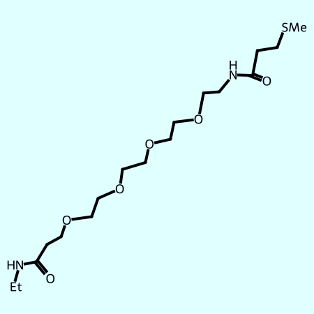 CCNC(=O)CCOCCOCCOCCOCCNC(=O)CCSC